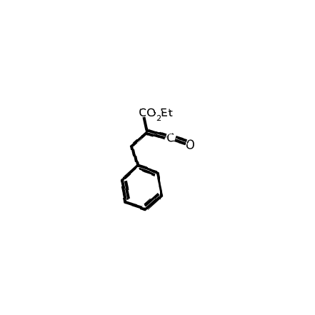 CCOC(=O)C(=C=O)Cc1ccccc1